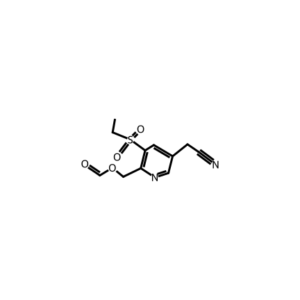 CCS(=O)(=O)c1cc(CC#N)cnc1COC=O